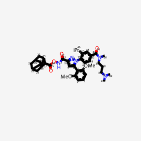 COc1cccc(OC)c1-c1cc(C(=O)NOC(=O)C2C3CC4CC(C3)CC2C4)nn1-c1ccc(C(=O)N(C)CCCN(C)C)cc1C(C)C